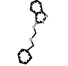 c1ccc(COCOn2nnc3ccccc32)cc1